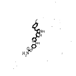 NC(=O)OC1CCC(Nc2cc(-c3cnc4[nH]cc(Cc5ccc(F)cc5)c4c3)ccn2)CC1